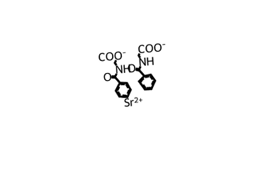 O=C([O-])CNC(=O)c1ccccc1.O=C([O-])CNC(=O)c1ccccc1.[Sr+2]